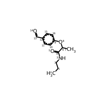 CCCNC(=O)C(C)Oc1ccc(C=O)cc1